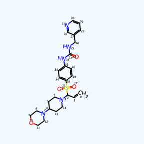 C=CC(N1CCC(N2CCOCC2)CC1)S(=O)(=O)c1ccc(NC(=O)NCc2cccnc2)cc1